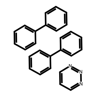 c1ccc(-c2ccccc2)cc1.c1ccc(-c2ccccc2)cc1.c1cnnnc1